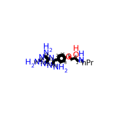 CCCNCC(O)COc1ccc(-c2nc3c(N)nc(N)nc3nc2N)cc1